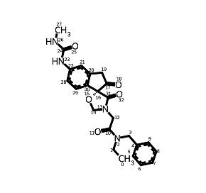 CCN(Cc1ccccc1)C(=O)CN1CO[C@]2(C(=O)Cc3cc(NC(=O)NC)ccc32)C1=O